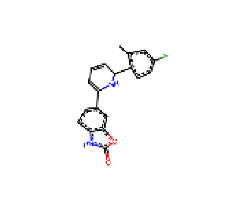 Cc1cc(F)ccc1C1C=CC=C(c2ccc3[nH]c(=O)oc3c2)N1